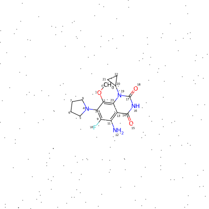 COc1c(N2CCCC2)c(F)c(N)c2c(=O)[nH]c(=O)n(C3CC3)c12